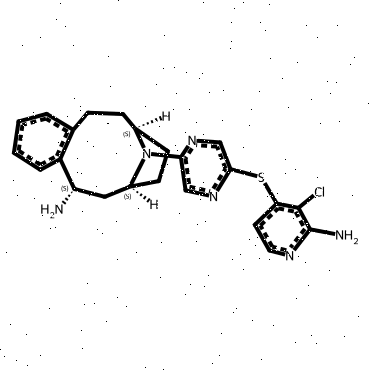 Nc1nccc(Sc2cnc(N3[C@H]4CCc5ccccc5[C@@H](N)C[C@@H]3CC4)cn2)c1Cl